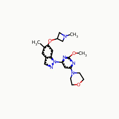 COc1nc(N2CCOCC2)cc(-n2ncc3cc(C)c(OC4CN(C)C4)cc32)n1